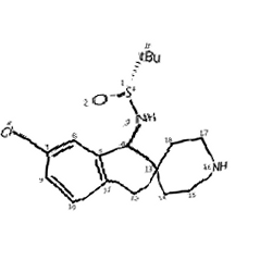 CC(C)(C)[S@@+]([O-])NC1c2cc(Cl)ccc2CC12CCNCC2